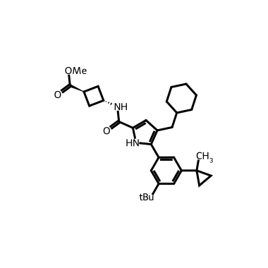 COC(=O)[C@H]1C[C@H](NC(=O)c2cc(CC3CCCCC3)c(-c3cc(C(C)(C)C)cc(C4(C)CC4)c3)[nH]2)C1